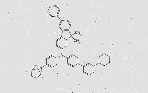 CC1(C)c2ccc(-c3ccccc3)cc2-c2ccc(N(c3ccc(-c4cccc(C5CCCCC5)c4)cc3)c3ccc(C4CC5CCC4C5)cc3)cc21